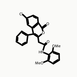 COc1cccc(OC)c1NC(=O)Cc1oc(=O)c2ccc(Cl)cc2c1-c1ccccc1